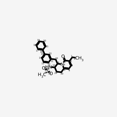 CCc1ccc2n(c1=O)C(Cc1cccc(-c3ccccc3)c1)C(NS(C)(=O)=O)CC2